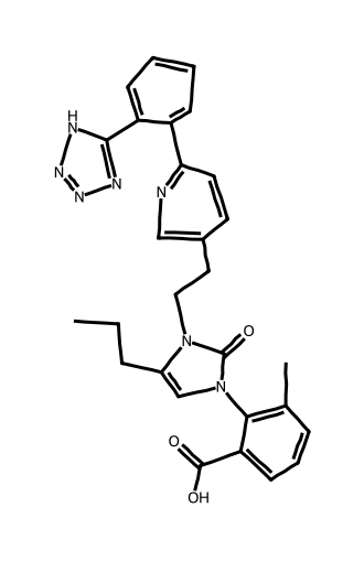 CCCc1cn(-c2c(C)cccc2C(=O)O)c(=O)n1CCc1ccc(-c2ccccc2-c2nnn[nH]2)nc1